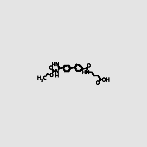 CCOC(=O)NC(=N)c1ccc(-c2ccc(C(=O)NCCCC(=O)O)cc2)cc1